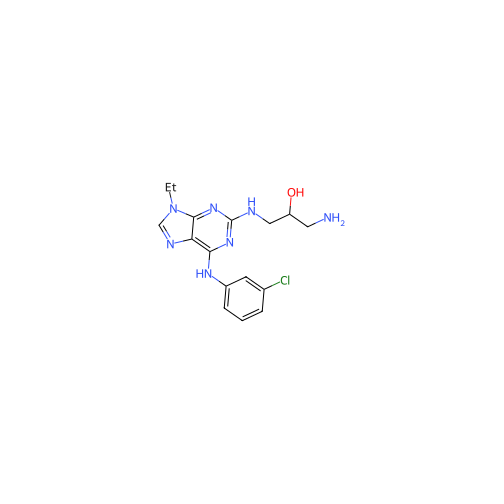 CCn1cnc2c(Nc3cccc(Cl)c3)nc(NCC(O)CN)nc21